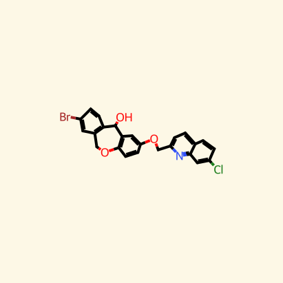 OC1c2ccc(Br)cc2COc2ccc(OCc3ccc4ccc(Cl)cc4n3)cc21